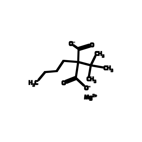 CCCCC(C(=O)[O-])(C(=O)[O-])C(C)(C)C.[Mg+2]